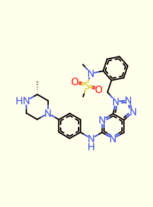 C[C@@H]1CN(c2ccc(Nc3ncc4nnn(Cc5ccccc5N(C)S(C)(=O)=O)c4n3)cc2)CCN1